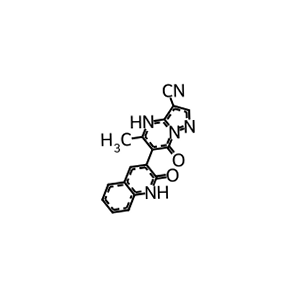 Cc1[nH]c2c(C#N)cnn2c(=O)c1-c1cc2ccccc2[nH]c1=O